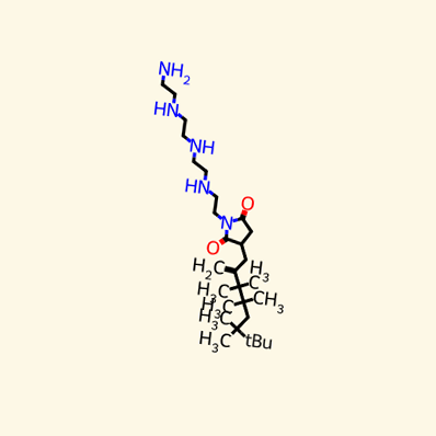 C=C(CC1CC(=O)N(CCNCCNCCNCCN)C1=O)C(C)(C)C(C)(C)CC(C)(C)C(C)(C)C